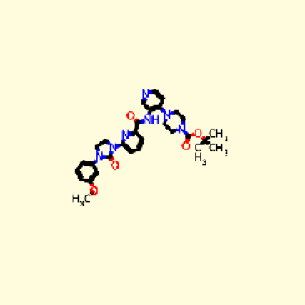 COc1cccc(N2CCN(c3cccc(C(=O)Nc4cnccc4N4CCN(C(=O)OC(C)(C)C)CC4)n3)C2=O)c1